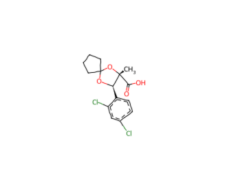 C[C@]1(C(=O)O)OC2(CCCC2)O[C@@H]1c1ccc(Cl)cc1Cl